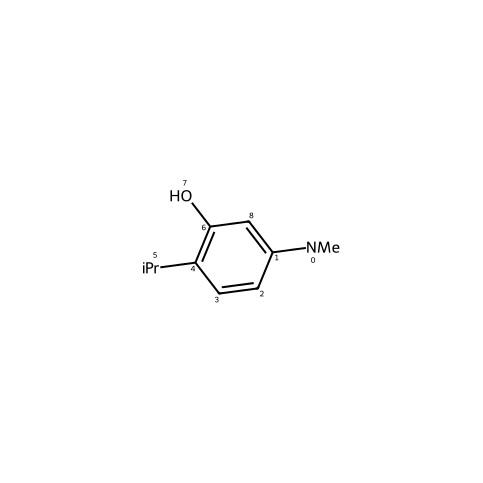 CNc1ccc(C(C)C)c(O)c1